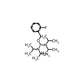 CC(C)N(C(C)C)P(OCc1ccccc1F)N(C(C)C)C(C)C